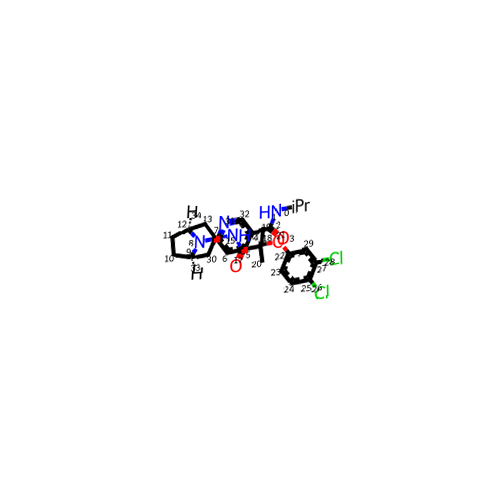 CC(C)NC(=O)c1ccc(N2[C@@H]3CC[C@H]2C[C@@H](NC(=O)C(C)(C)Oc2ccc(Cl)c(Cl)c2)C3)nc1